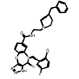 O=C(NCCN1CCC(Cc2ccccc2)CC1)c1ccc2c(c1)N(Cc1cc(F)ccc1Cl)C(=O)c1[nH]nnc1O2